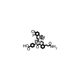 NC(=O)CCc1cccc2c1CCN(C(=O)C=Cc1c(-n3cnnn3)ccc(Cl)c1F)C2C(=O)Nc1ccc(C(=O)O)cc1